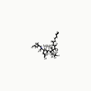 C=CCCCC(C)C(O)C(C)C(=O)C(C)(C)[C@H](CC(=O)NC(CC=C)/C(C)=C/c1csc(C)n1)O[Si](C)(C)C(C)(C)C